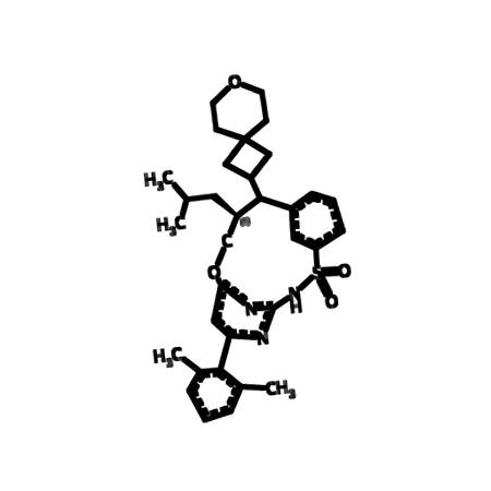 Cc1cccc(C)c1-c1cc2nc(n1)NS(=O)(=O)c1cccc(c1)C(C1CC3(CCOCC3)C1)[C@H](CC(C)C)CO2